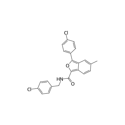 Cc1ccc2c(C(=O)NCc3ccc(Cl)cc3)oc(-c3ccc(Cl)cc3)c2c1